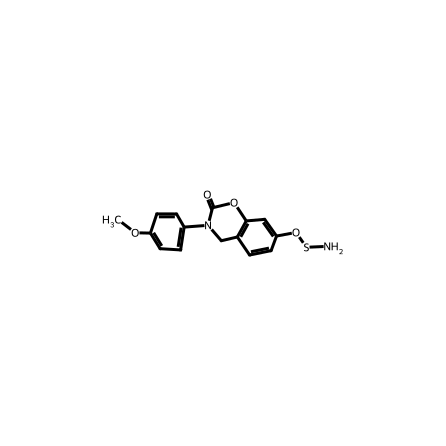 COc1ccc(N2Cc3ccc(OSN)cc3OC2=O)cc1